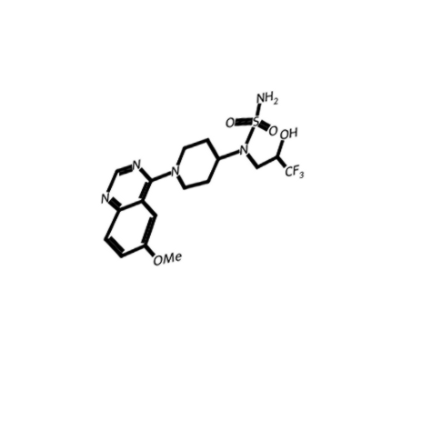 COc1ccc2ncnc(N3CCC(N(CC(O)C(F)(F)F)S(N)(=O)=O)CC3)c2c1